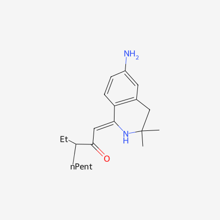 CCCCCC(CC)C(=O)/C=C1\NC(C)(C)Cc2cc(N)ccc21